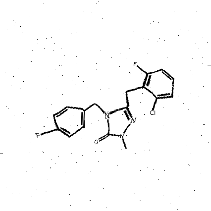 Cn1nc(Cc2c(F)cccc2Cl)n(Cc2ccc(F)cc2)c1=O